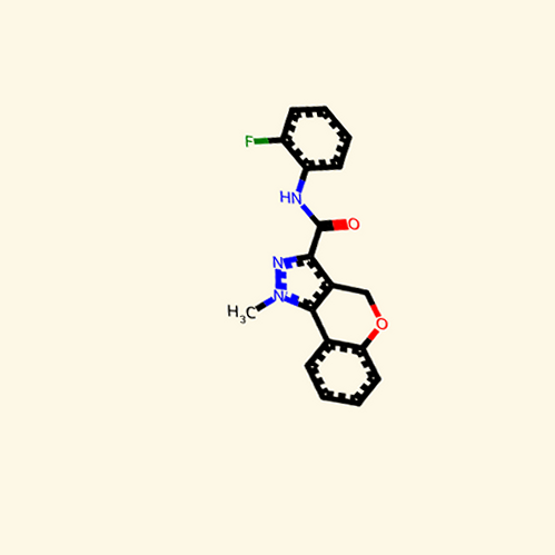 Cn1nc(C(=O)Nc2ccccc2F)c2c1-c1ccccc1OC2